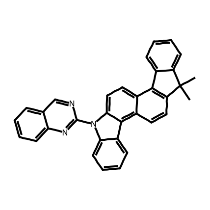 CC1(C)c2ccccc2-c2c1ccc1c2ccc2c1c1ccccc1n2-c1ncc2ccccc2n1